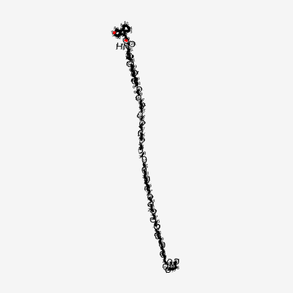 O=C(CCOCCOCCOCCOCCOCCOCCOCCOCCOCCOCCOCCOCCOCCOCCOCCOCCOCCOCCOCCOCCOCCOCCOCCOCCNC(=O)OCC1c2ccccc2-c2ccccc21)ON1C(=O)CCC1=O